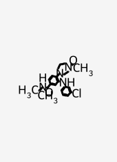 CC(=O)N1CCCN(c2ccc(C(=O)NC(C)C)cc2Nc2cccc(Cl)c2)CC1